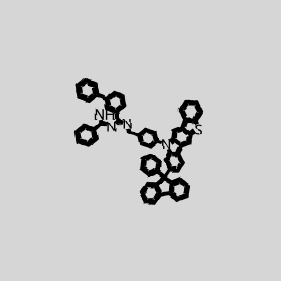 N/C(=N\C(/N=C/c1ccc(-n2c3cc(C4(c5ccccc5)c5ccccc5-c5ccccc54)ccc3c3cc4sc5ccccc5c4cc32)cc1)c1cccc(-c2ccccc2)c1)c1ccccc1